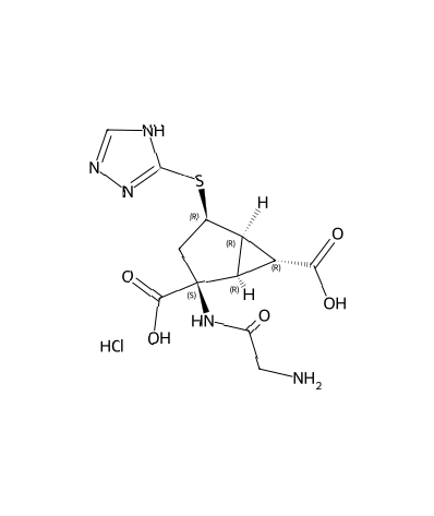 Cl.NCC(=O)N[C@@]1(C(=O)O)C[C@@H](Sc2nnc[nH]2)[C@H]2[C@H](C(=O)O)[C@H]21